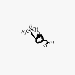 CP(C)(=O)Cc1ccc(CC(=O)O)cc1